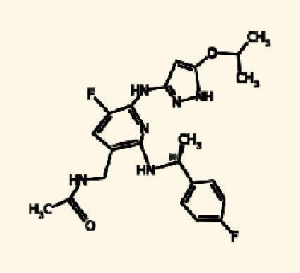 CC(=O)NCc1cc(F)c(Nc2cc(OC(C)C)[nH]n2)nc1N[C@@H](C)c1ccc(F)cc1